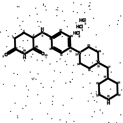 Cl.Cl.Cl.O=C1CCC(Nc2ccc(N3CCN(CC4CCNCC4)CC3)cc2)C(=O)N1